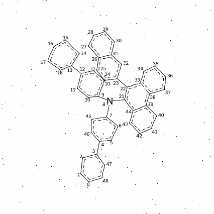 c1ccc(-c2ccc(N(c3ccc(-c4ccccc4)cc3)c3c(-c4ccc5ccccc5c4)c4ccccc4c4ccccc34)cc2)cc1